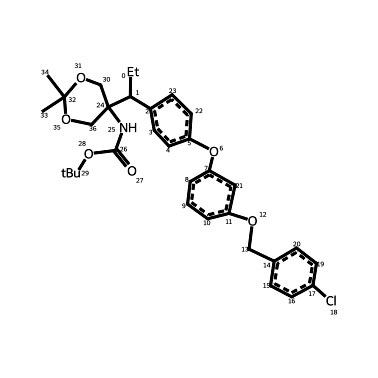 CCC(c1ccc(Oc2cccc(OCc3ccc(Cl)cc3)c2)cc1)C1(NC(=O)OC(C)(C)C)COC(C)(C)OC1